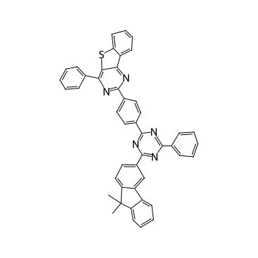 CC1(C)c2ccccc2-c2cc(-c3nc(-c4ccccc4)nc(-c4ccc(-c5nc(-c6ccccc6)c6sc7ccccc7c6n5)cc4)n3)ccc21